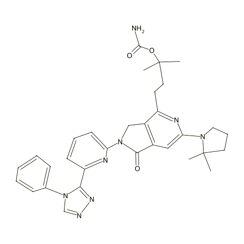 CC(C)(CCc1nc(N2CCCC2(C)C)cc2c1CN(c1cccc(-c3nncn3-c3ccccc3)n1)C2=O)OC(N)=O